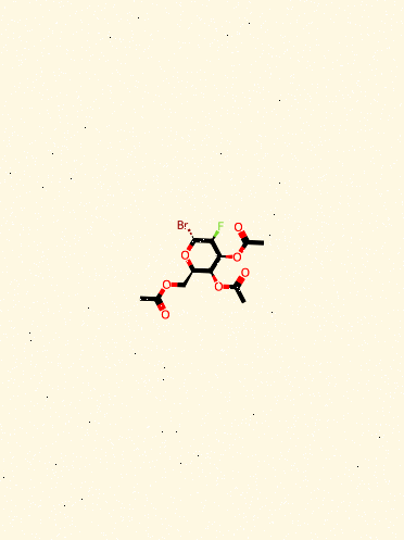 CC(=O)OC[C@H]1O[C@H](Br)[C@@H](F)[C@@H](OC(C)=O)[C@H]1OC(C)=O